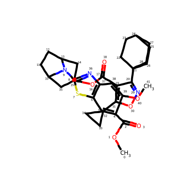 COC(=O)c1cc2sc(N3C4CCC3CC(OC(=O)c3c(C56CCC(CC5)CC6)noc3C3CC3)C4)nc2cc1OC